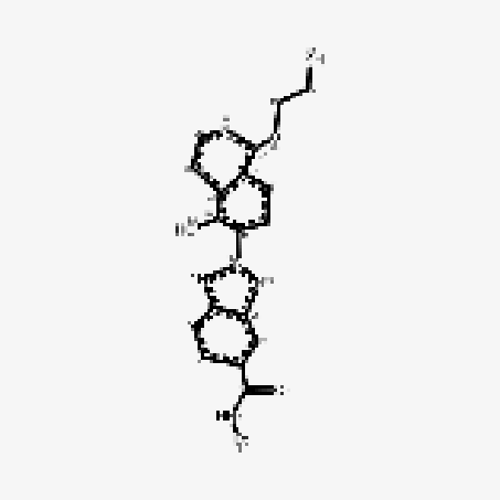 CCNC(=O)c1ccc2nn(-c3ccc4c(OCCS)nccc4c3O)nc2c1